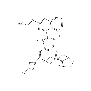 C=C(/N=C\c1c(CF)nc(N2CC(O)C2)nc1N1CC2CCC(C1)N2C(=O)OC(C)(C)C)c1cc(OCOC)cc2cccc(CC)c12